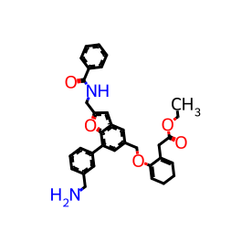 CCOC(=O)CC1=CCCC=C1OCc1cc(-c2cccc(CN)c2)c2oc(CNC(=O)c3ccccc3)cc2c1